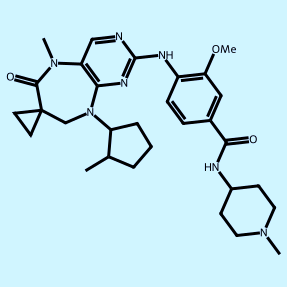 COc1cc(C(=O)NC2CCN(C)CC2)ccc1Nc1ncc2c(n1)N(C1CCCC1C)CC1(CC1)C(=O)N2C